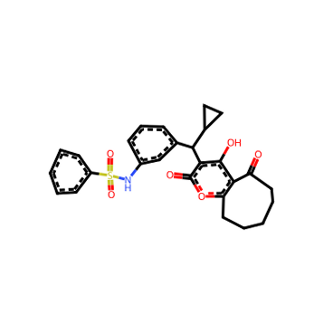 O=C1CCCCCc2oc(=O)c(C(c3cccc(NS(=O)(=O)c4ccccc4)c3)C3CC3)c(O)c21